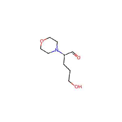 O=CC(CCCO)N1CCOCC1